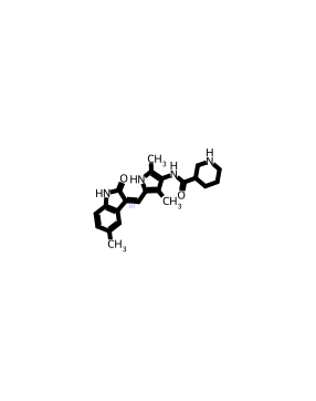 Cc1ccc2c(c1)/C(=C/c1[nH]c(C)c(NC(=O)C3CCCNC3)c1C)C(=O)N2